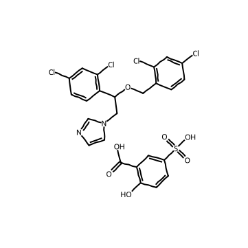 Clc1ccc(COC(Cn2ccnc2)c2ccc(Cl)cc2Cl)c(Cl)c1.O=C(O)c1cc(S(=O)(=O)O)ccc1O